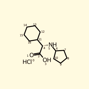 Cl.O=C(O)[C@@H](NC1CCCC1)C1CCCCC1